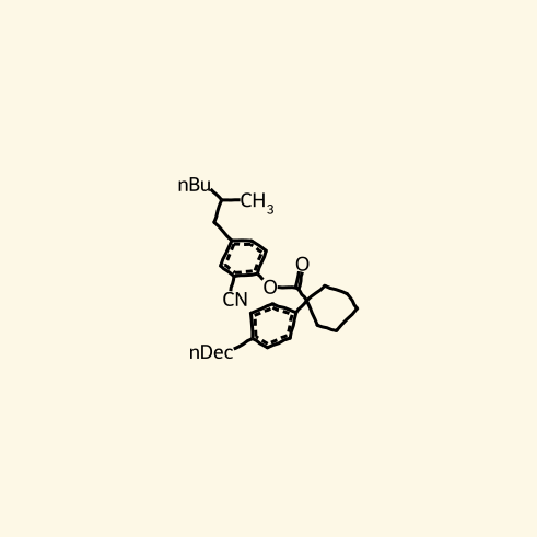 CCCCCCCCCCc1ccc(C2(C(=O)Oc3ccc(CC(C)CCCC)cc3C#N)CCCCC2)cc1